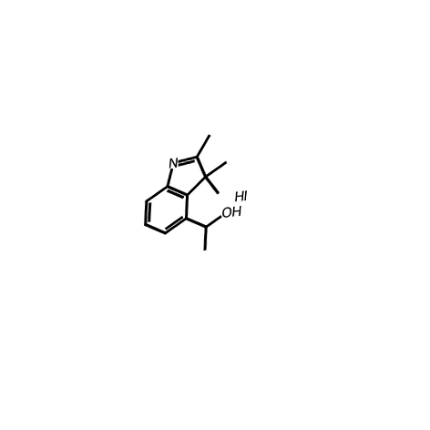 CC1=Nc2cccc(C(C)O)c2C1(C)C.I